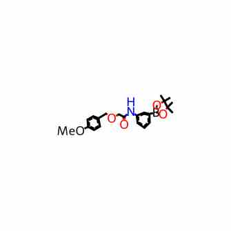 COc1ccc(COCC(=O)Nc2cccc(B3OC(C)(C)C(C)(C)O3)c2)cc1